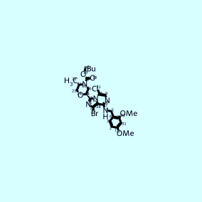 COc1ccc(CNc2ncc(Cl)n3c([C@@H]4CN(C(=O)OC(C)(C)C)[C@@H](C)CO4)nc(Br)c23)c(OC)c1